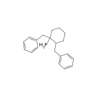 PC1(Cc2ccccc2)CCCCC1Cc1ccccc1